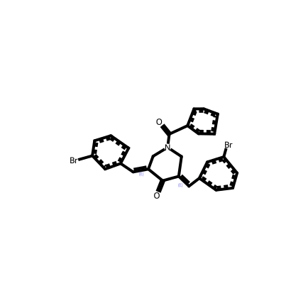 O=C1/C(=C/c2cccc(Br)c2)CN(C(=O)c2ccccc2)C/C1=C\c1cccc(Br)c1